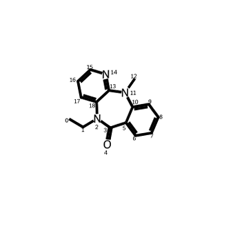 CCN1C(=O)c2ccccc2N(C)c2ncccc21